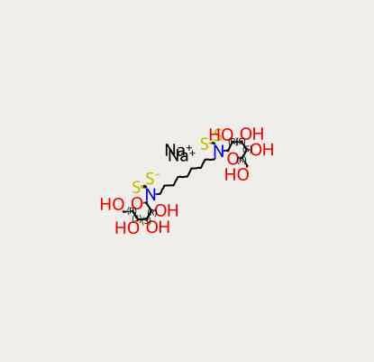 OC[C@H]1OC(N(CCCCCCCCCN(C(=S)[S-])C2O[C@H](CO)[C@@H](O)[C@H](O)[C@H]2O)C(=S)[S-])[C@H](O)[C@@H](O)[C@@H]1O.[Na+].[Na+]